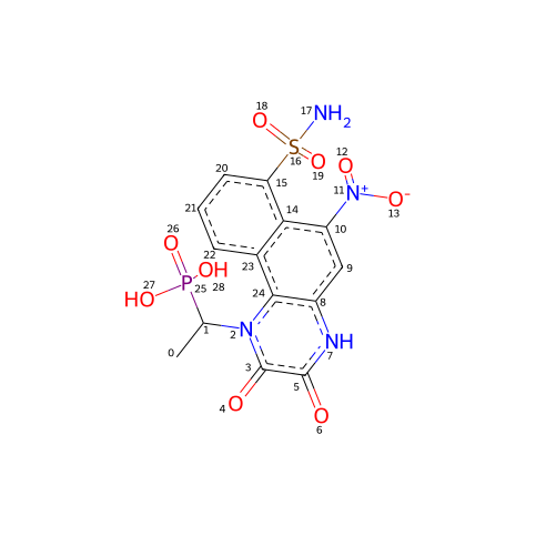 CC(n1c(=O)c(=O)[nH]c2cc([N+](=O)[O-])c3c(S(N)(=O)=O)cccc3c21)P(=O)(O)O